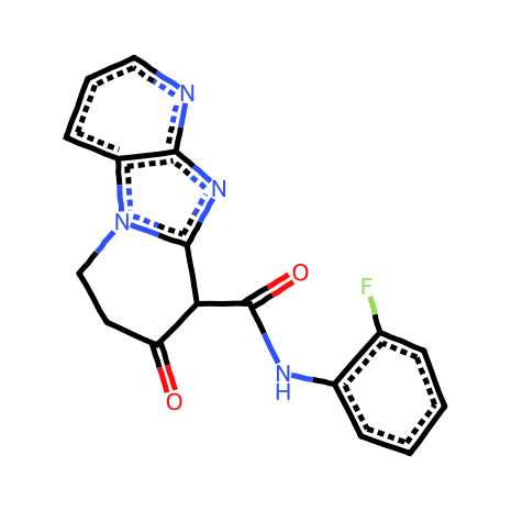 O=C1CCn2c(nc3ncccc32)C1C(=O)Nc1ccccc1F